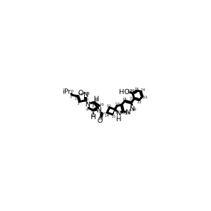 CC(C)Cc1cc(N2C[C@@H]3C[C@H]2CN3C(=O)[C@H]2C[C@]3(Cc4cc(-c5ccccc5O)nnc4N3)C2)no1